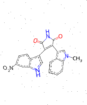 Cn1cc(C2=C(c3c[nH]c4cc([N+](=O)[O-])ccc34)C(=O)NC2=O)c2ccccc21